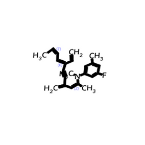 C=C/C(C#CC(=C)/C=C(/C)N(C)c1cc(C)cc(F)c1)=C\C=C/C